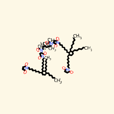 CCCCCCCCC1C(CCCCCC)CCC(CCCCCCCCN2C(=O)C=CC2=O)C1CCCCCCCCN1C(=O)CC(N(CCC(C)CC(C)(C)CN(C(C)=O)C2CC(=O)N(CCCCCCCCC3C(CCCCCCCCN4C(=O)C=CC4=O)CCC(CCCCCC)C3CCCCCCCC)C2=O)C(C)=O)C1=O